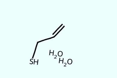 C=CCS.O.O